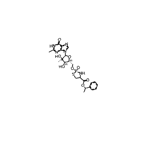 Cc1nc2c(ncn2C2O[C@H](COP3(=O)NC(C(=O)OC(C)c4ccccc4)CS3)[C@@H](O)[C@@]2(C)O)c(=O)[nH]1